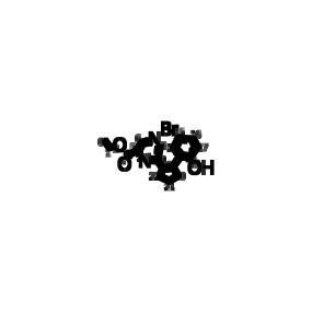 CCOC(=O)c1cncc(C2=C(c3cc(Br)ccc3O)CCC2)n1